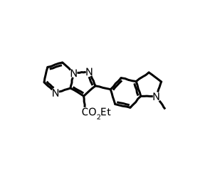 CCOC(=O)c1c(-c2ccc3c(c2)CCN3C)nn2cccnc12